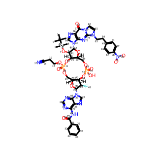 CC(C)(C)[Si](C)(C)O[C@@H]1[C@@H]2OP(=O)(OCCC#N)OC[C@H]3O[C@@H](n4cnc5c(NC(=O)c6ccccc6)ncnc54)[C@H](F)[C@@H]3OP(=O)(O)OC[C@H]2O[C@H]1n1cnc2c(=O)n3ccn(CCc4ccc([N+](=O)[O-])cc4)c3nc21